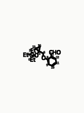 CC[Si](CC)(CC)OC1(COc2ccccc2C=O)CC1